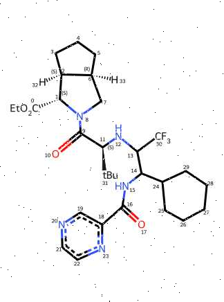 CCOC(=O)[C@@H]1[C@H]2CCC[C@H]2CN1C(=O)[C@@H](NC(C(NC(=O)c1cnccn1)C1CCCCC1)C(F)(F)F)C(C)(C)C